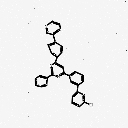 Clc1cccc(-c2cccc(-c3cc(-c4ccc(-c5cccnc5)cc4)nc(-c4ccccc4)n3)c2)c1